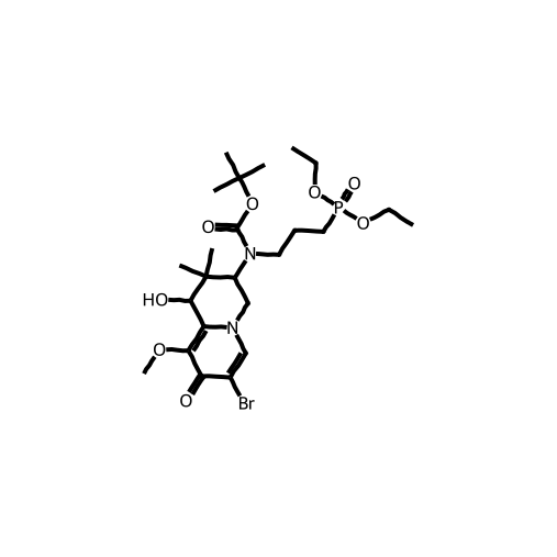 CCOP(=O)(CCCN(C(=O)OC(C)(C)C)C1Cn2cc(Br)c(=O)c(OC)c2C(O)C1(C)C)OCC